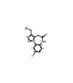 O=C1Cc2c(CBr)nnn2-c2cc(I)ccc2N1